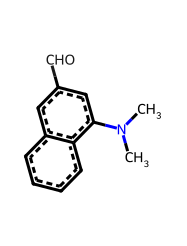 CN(C)c1cc(C=O)cc2ccccc12